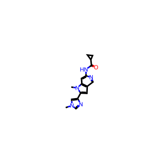 Cn1cnc(-c2cc3cnc(NC(=O)C4CC4)cc3n2C)c1